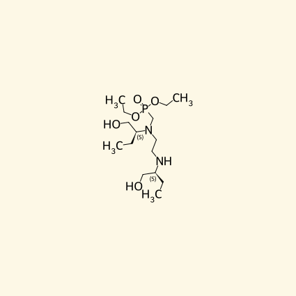 CCOP(=O)(CN(CCN[C@@H](CC)CO)[C@@H](CC)CO)OCC